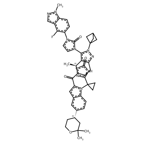 C[C@H]1c2c(nn(C34CC(C3)C4)c2-n2ccn(-c3ccc4c(cnn4C)c3F)c2=O)CCN1C(=O)c1cc2cc([C@H]3CCOC(C)(C)C3)ccc2n1C1(c2noc(=O)[nH]2)CC1